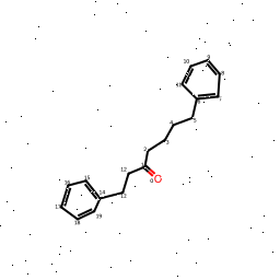 O=C(CCCCc1ccccc1)CCc1ccccc1